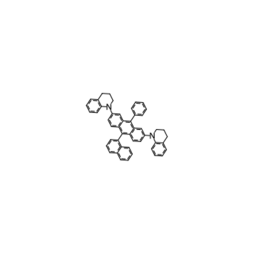 c1ccc(-c2c3cc(N4CCCc5ccccc54)ccc3c(-c3cccc4ccccc34)c3ccc(N4CCCc5ccccc54)cc23)cc1